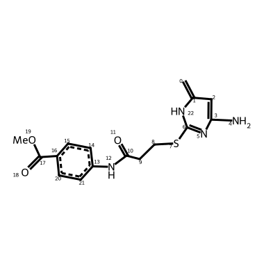 C=C1C=C(N)N=C(SCCC(=O)Nc2ccc(C(=O)OC)cc2)N1